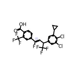 O=C(O)c1ccc(/C(F)=C/C(c2cc(Cl)c(Cl)c(C3CC3)c2)C(F)(F)F)cc1C(F)(F)F